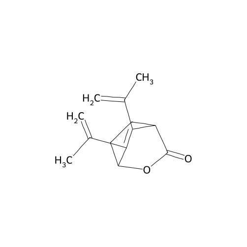 C=C(C)C1=C(C(=C)C)C2CCC1OC2=O